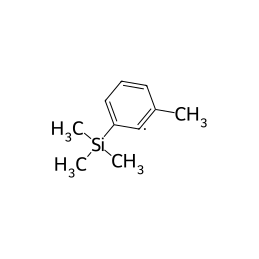 Cc1[c]c([Si](C)(C)C)ccc1